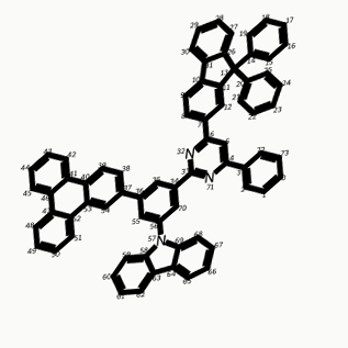 c1ccc(-c2cc(-c3ccc4c(c3)C(c3ccccc3)(c3ccccc3)c3ccccc3-4)nc(-c3cc(-c4ccc5c6ccccc6c6ccccc6c5c4)cc(-n4c5ccccc5c5ccccc54)c3)n2)cc1